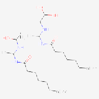 CCCCCCCCCCCCCCCC(=O)NC(CC)NC(C)O.CCCCCCCCCCCCCCCC(=O)NC(CC)NCC(O)O